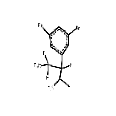 CCc1[c]c(Br)cc(C(F)(C(C)C(F)(F)F)C(F)(F)C(F)(F)F)c1